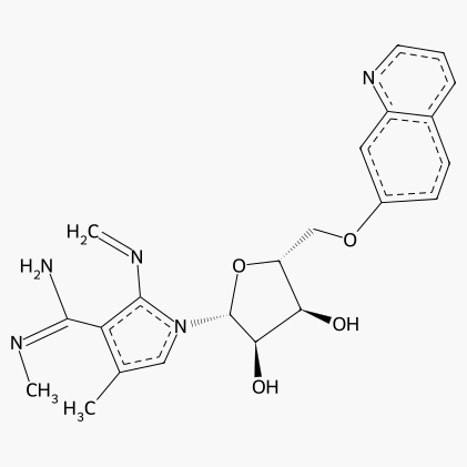 C=Nc1c(/C(N)=N\C)c(C)cn1[C@@H]1O[C@H](COc2ccc3cccnc3c2)[C@@H](O)[C@H]1O